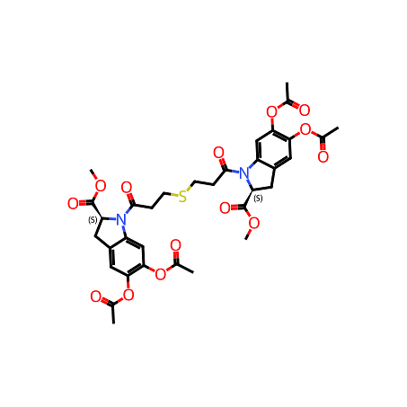 COC(=O)[C@@H]1Cc2cc(OC(C)=O)c(OC(C)=O)cc2N1C(=O)CCSCCC(=O)N1c2cc(OC(C)=O)c(OC(C)=O)cc2C[C@H]1C(=O)OC